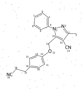 Cc1nn(-c2ccccc2)c(COc2ccc(CCC#N)cc2)c1C#N